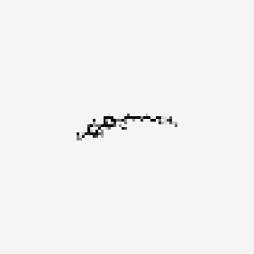 CCCCCCCCC(=O)Oc1ccc(-c2ncc(C#N)cn2)cc1